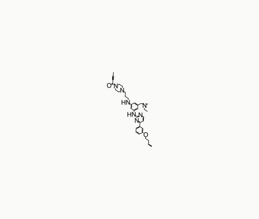 C=CCCOc1cccc(-c2ccnc(Nc3cc(CN(C)CC)cc(NCCCN4CCN(C(=O)C#CC)CC4)c3)n2)c1